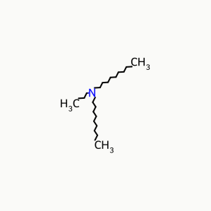 CCCCCCCCCCCN(CCCC)CCCCCCCCCCC